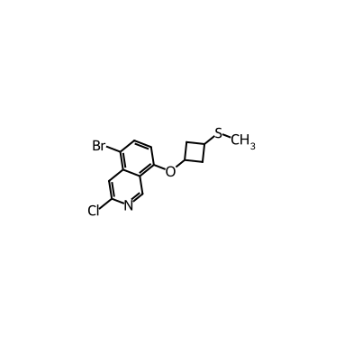 CSC1CC(Oc2ccc(Br)c3cc(Cl)ncc23)C1